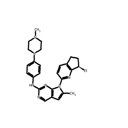 CC[C@@H]1CCc2ccc(-n3c(C)cc4cnc(Nc5ccc(N6CCN(C)CC6)cc5)nc43)nc21